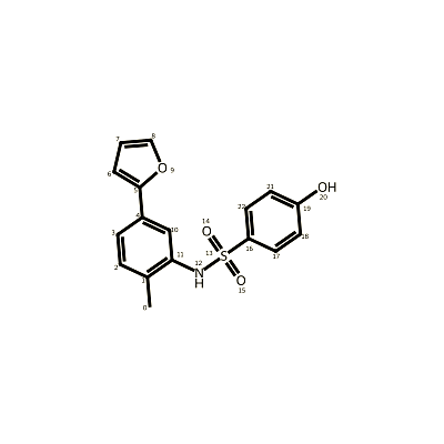 Cc1ccc(-c2ccco2)cc1NS(=O)(=O)c1ccc(O)cc1